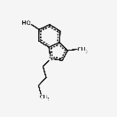 CCCCn1cc(C)c2ccc(O)cc21